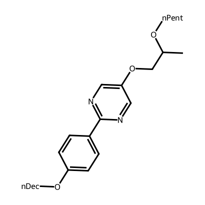 CCCCCCCCCCOc1ccc(-c2ncc(OCC(C)OCCCCC)cn2)cc1